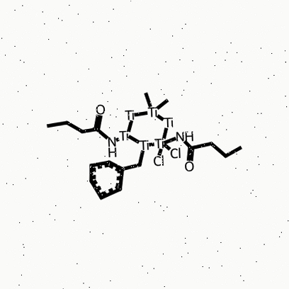 CCCC(=O)[NH][Ti]1[Ti][Ti]([CH3])([CH3])[Ti][Ti]([Cl])([Cl])([NH]C(=O)CCC)[Ti]1[CH2]c1ccccc1